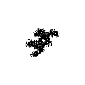 C[C@@H]1COCCN1C[C@H]1CN(C(=O)O)[C@H](C)CN1CC(=O)N1CC(C)(C(=O)Nc2ccc3c(c2)CN(C(=O)[C@@H](NC(=O)[C@H](C)N(C)C(=O)OC(C)(C)C)C(C)(C)C)[C@H](C(=O)N[C@@H]2CCCc4ccccc42)C3)c2ccc(Cc3ccc(F)cc3)cc21